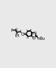 CCCCc1nc2ccc(OC/C(=C/F)CC)cc2o1